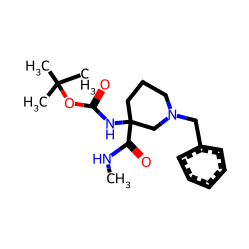 CNC(=O)C1(NC(=O)OC(C)(C)C)CCCN(Cc2ccccc2)C1